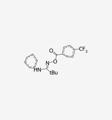 CC(C)(C)/C(=N\OC(=O)c1ccc(C(F)(F)F)cc1)Nc1ccccc1